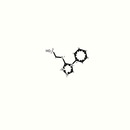 O=C(O)CSc1nncn1-c1ccccc1